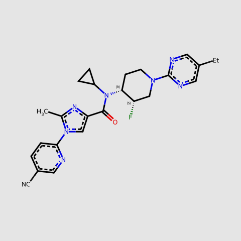 CCc1cnc(N2CC[C@@H](N(C(=O)c3cn(-c4ccc(C#N)cn4)c(C)n3)C3CC3)[C@@H](F)C2)nc1